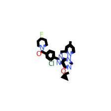 Cc1ccnc(Cn2c(-c3ccc(C(=O)N4CCC(F)CC4)cc3Cl)nc3c(OC4(C)CC4)ncnc32)c1